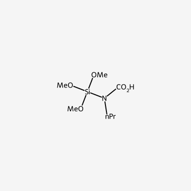 CCCN(C(=O)O)[Si](OC)(OC)OC